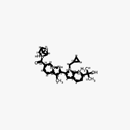 Cc1c(-c2cc3ccc(C(C)(C)O)nc3n2CC2CC2)nn2cc(C(=O)N3CC4[C@@H]5C3N45)ccc12